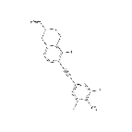 CCCCCC1CCc2c(ccc(C#Cc3cc(F)c(C(F)(F)F)c(F)c3)c2F)C1